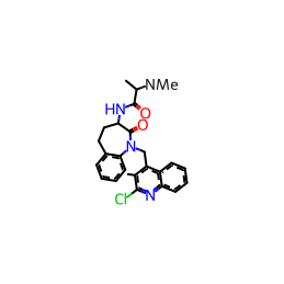 CNC(C)C(=O)NC1CCc2ccccc2N(Cc2c(C)c(Cl)nc3ccccc23)C1=O